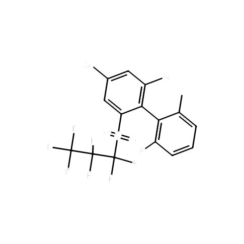 O=S(=O)(c1cc(Br)[c]c(Br)c1-c1c(F)cccc1F)C(F)(F)C(F)(F)C(F)(F)F